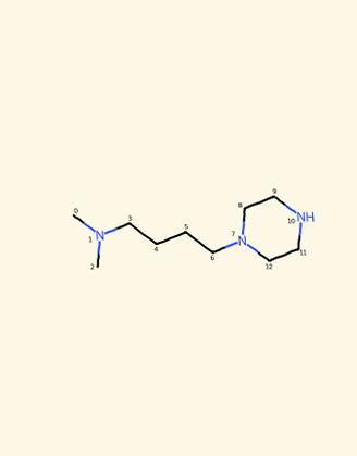 CN(C)CCCCN1CCNCC1